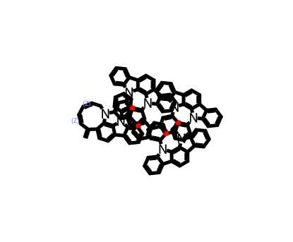 C=C1/C=C\C=C/CN(c2cc(-c3cccc(-c4cc(-n5c6ccccc6c6ccc7c8ccccc8n(-c8ccccc8)c7c65)cc(-n5c6ccccc6c6ccc7c8ccccc8n(-c8ccccc8)c7c65)c4)c3)cc(-n3c4ccccc4c4ccc5c6ccccc6n(-c6ccccc6)c5c43)c2)c2c1ccc1c3ccccc3n(-c3ccccc3)c21